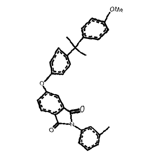 COc1ccc(C(C)(C)c2ccc(Oc3ccc4c(c3)C(=O)N(c3cccc(C)c3)C4=O)cc2)cc1